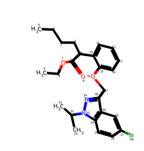 CCCCC(C(=O)OCC)c1ccccc1OCc1nn(C(C)C)c2ccc(Br)cc12